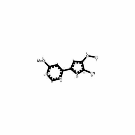 CCOc1cc(-c2cc(OC)ncn2)sc1C#N